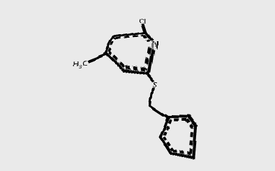 Cc1cc(Cl)nc(SCc2ccccc2)c1